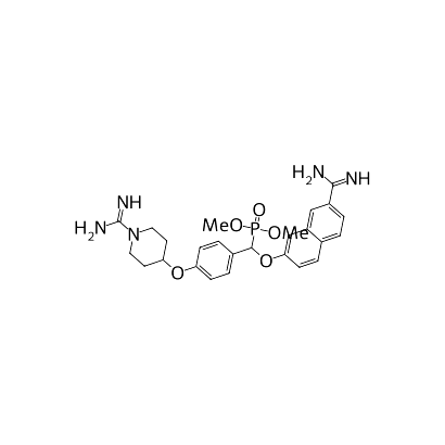 COP(=O)(OC)C(Oc1ccc2ccc(C(=N)N)cc2c1)c1ccc(OC2CCN(C(=N)N)CC2)cc1